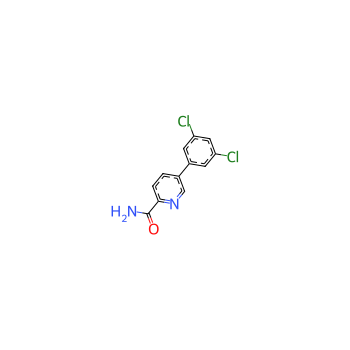 NC(=O)c1ccc(-c2cc(Cl)cc(Cl)c2)cn1